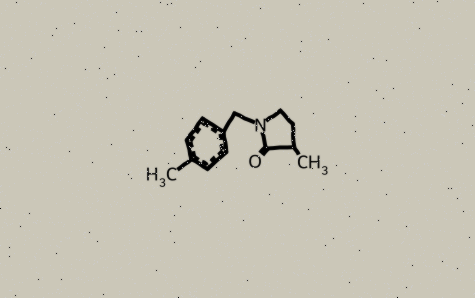 Cc1ccc(CN2CCC(C)C2=O)cc1